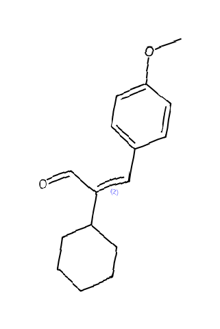 COc1ccc(/C=C(\C=O)C2CCCCC2)cc1